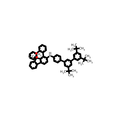 CC(C)(C)c1cc(-c2ccc(Nc3ccc4c(c3-c3ccccc3-c3ccccc3)C(C)(C)c3ccccc3-4)cc2)cc(-c2cc(C(C)(C)C)cc(C(C)(C)C)c2)c1